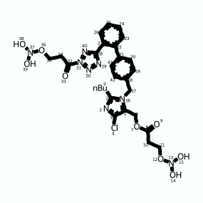 CCCCc1nc(Cl)c(COC(=O)CCON(O)O)n1Cc1ccc(-c2ccccc2-c2nnn(C(=O)CCON(O)O)n2)cc1